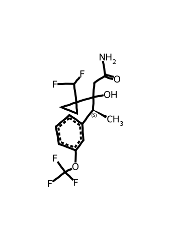 C[C@@H](c1cccc(OC(F)(F)F)c1)C(O)(CC(N)=O)C1(C(F)F)CC1